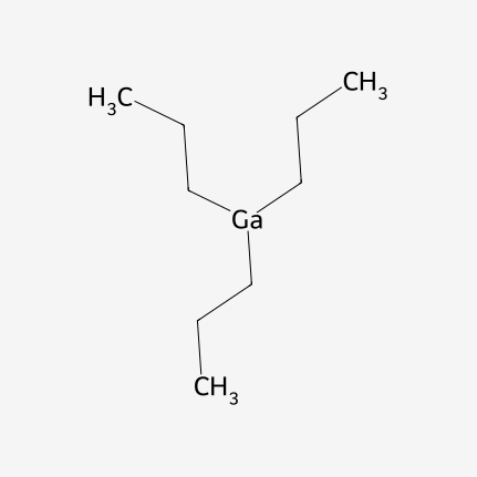 CC[CH2][Ga]([CH2]CC)[CH2]CC